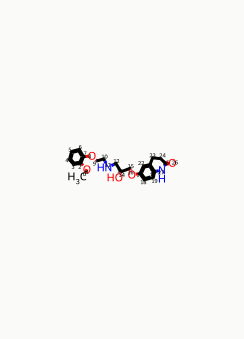 COc1ccccc1OCCNCC(O)COc1ccc2c(c1)CCC(=O)N2